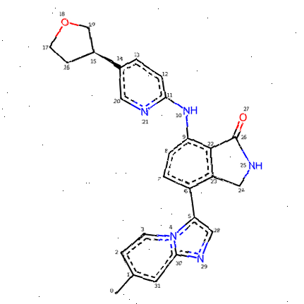 Cc1ccn2c(-c3ccc(Nc4ccc([C@H]5CCOC5)cn4)c4c3CNC4=O)cnc2c1